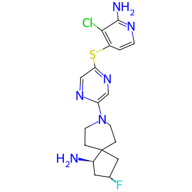 Nc1nccc(Sc2cnc(N3CCC4(CC3)C[C@@H](F)C[C@H]4N)cn2)c1Cl